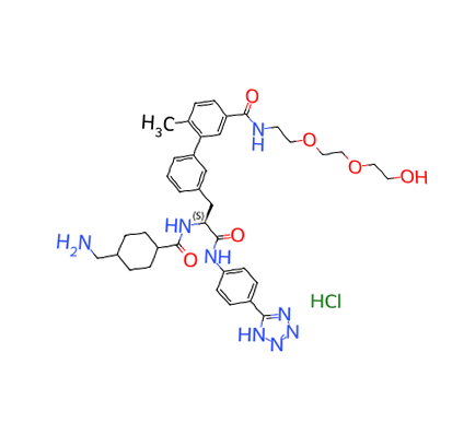 Cc1ccc(C(=O)NCCOCCOCCO)cc1-c1cccc(C[C@H](NC(=O)C2CCC(CN)CC2)C(=O)Nc2ccc(-c3nnn[nH]3)cc2)c1.Cl